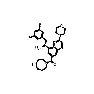 CN(Cc1cc(F)cc(F)c1)c1cc(C(=O)N2CCCNCC2)cc2ncc(N3CCOCC3)nc12